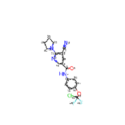 N#Cc1cc(C(=O)Nc2ccc(OC(F)(F)Cl)cc2)cnc1N1CCCC1